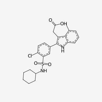 Cc1cccc2[nH]c(-c3ccc(Cl)c(S(=O)(=O)NC4CCCCC4)c3)c(CC(=O)O)c12